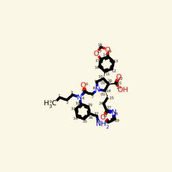 CCCCN(C(=O)CN1C[C@H](c2ccc3c(c2)OCO3)[C@@H](C(=O)O)[C@@H]1CCc1ncco1)c1cccc(CN)c1